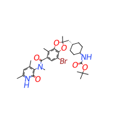 Cc1cc(C)c(N(C)C(=O)c2cc(Br)c3c(c2C)OC(C)(C[C@H]2CC[C@H](NC(=O)OC(C)(C)C)CC2)O3)c(=O)[nH]1